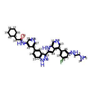 CN(C)CCNc1cc(F)cc(-c2cncc3[nH]c(-c4n[nH]c5ccc(-c6cncc(NC(=O)CC7CCCCC7)c6)cc45)cc23)c1